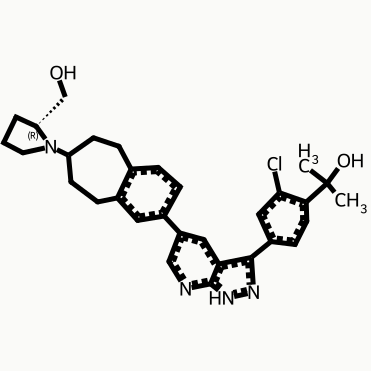 CC(C)(O)c1ccc(-c2n[nH]c3ncc(-c4ccc5c(c4)CCC(N4CCC[C@@H]4CO)CC5)cc23)cc1Cl